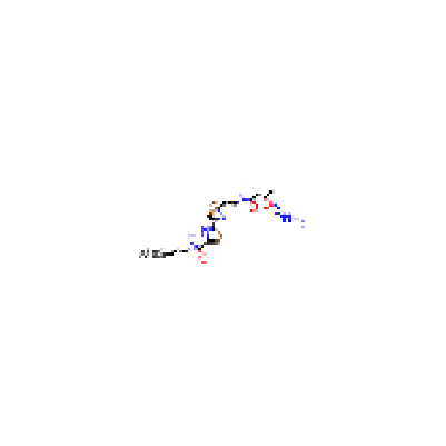 CSCCCNC(=O)c1csc(-c2csc(CCNC(=O)CC(C)ON=CN)n2)n1